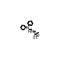 CCO[Si](C)(C)CNCCN(c1ccccc1)c1ccccc1